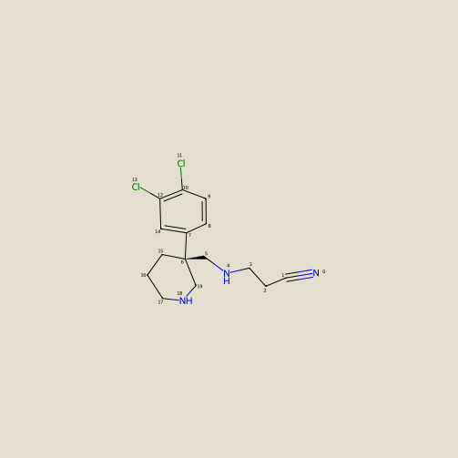 N#CCCNC[C@]1(c2ccc(Cl)c(Cl)c2)CCCNC1